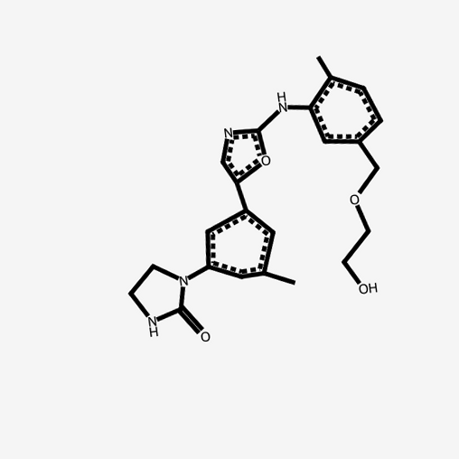 Cc1cc(-c2cnc(Nc3cc(COCCO)ccc3C)o2)cc(N2CCNC2=O)c1